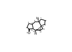 O=C1CCC2C[C@@H]3CCC[C@]34CC[C@@H](O4)C12